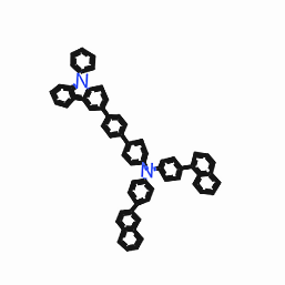 c1ccc(-n2c3ccccc3c3cc(-c4ccc(-c5ccc(N(c6ccc(-c7ccc8ccccc8c7)cc6)c6ccc(-c7cccc8ccccc78)cc6)cc5)cc4)ccc32)cc1